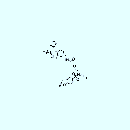 CN(C)C(c1cccs1)C1CCC(CNC(=O)COCCN(C)S(=O)(=O)c2ccc(OC(F)(F)F)cc2)CC1